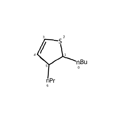 CCCCC1SC=CC1CCC